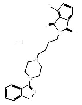 Cl.O=C1c2cccc(F)c2C(=O)N1CCCCN1CCN(c2nsc3ccccc23)CC1